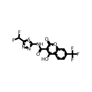 O=C(Nc1nnc(C(F)F)s1)c1c(O)c2ccc(C(F)(F)F)cc2oc1=O